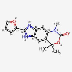 CCN1C(=O)OC(C)(C)c2cc3[nH]c(-c4ccco4)nc3cc21